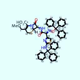 COCC1=C(C(=O)O)N2C(=O)C(NC(=O)C(=NOC(c3ccccc3)(c3ccccc3)c3ccccc3)c3csc(NC(c4ccccc4)(c4ccccc4)c4ccccc4)n3)[C@@H]2SC1